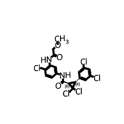 COCC(=O)Nc1cc(NC(=O)[C@H]2[C@H](c3cc(Cl)cc(Cl)c3)C2(Cl)Cl)ccc1Cl